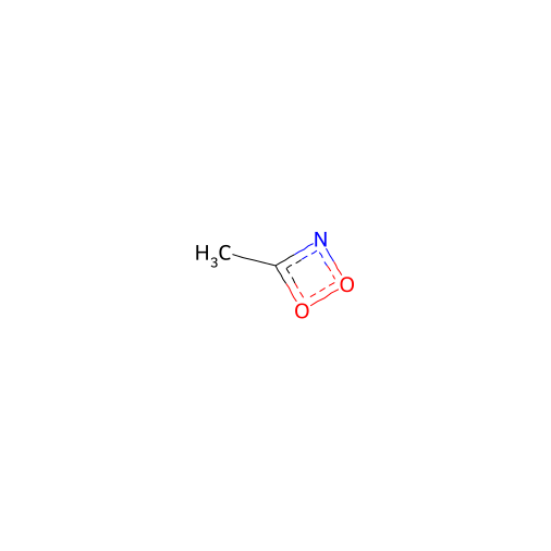 Cc1noo1